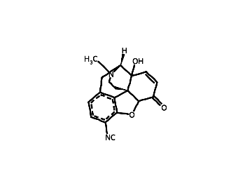 [C-]#[N+]c1ccc2c3c1OC1C(=O)C=CC4(O)[C@@H](C2)N(C)CC[C@]314